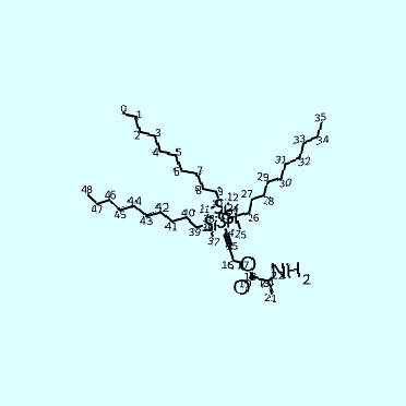 CCCCCCCCCC[Si](C)(C)[Si](C#CCOC(=O)[C@H](C)N)([Si](C)(C)CCCCCCCCCC)[Si](C)(C)CCCCCCCCCC